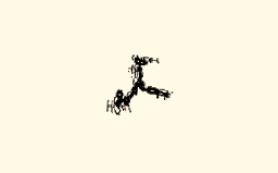 O=C(O)NC(c1ccccc1)c1cccc(OCc2ccc(C(=O)N(CCCNC[C@@H](O)c3ccc(O)c4[nH]c(=O)ccc34)Cc3ccc(OC(F)(F)F)cc3)cc2)c1